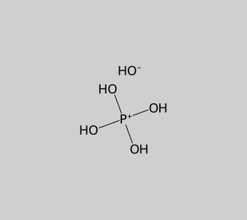 O[P+](O)(O)O.[OH-]